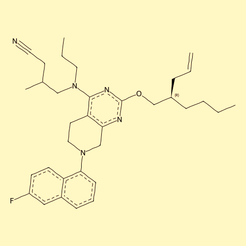 C=CC[C@@H](CCCC)COc1nc2c(c(N(CCC)CC(C)CC#N)n1)CCN(c1cccc3cc(F)ccc13)C2